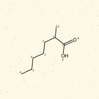 [CH2]C(CCCCC)C(=O)O